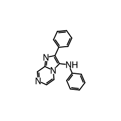 c1ccc(Nc2c(-c3ccccc3)nc3cnccn23)cc1